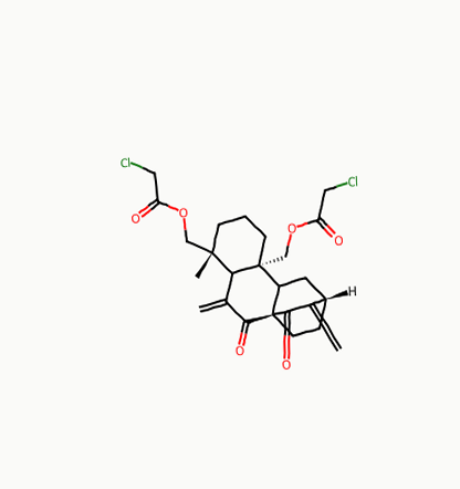 C=C1C(=O)[C@@]23CC[C@@H](CC2[C@]2(COC(=O)CCl)CCC[C@@](C)(COC(=O)CCl)C12)C(=C)C3=O